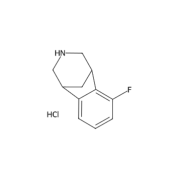 Cl.Fc1cccc2c1C1CNCC2C1